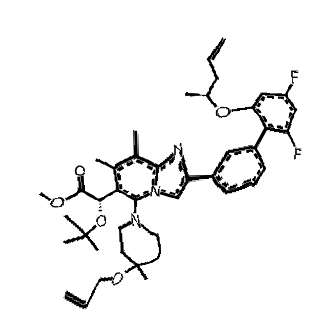 C=CCOC1(C)CCN(c2c([C@H](OC(C)(C)C)C(=O)OC)c(C)c(C)c3nc(-c4cccc(-c5c(F)cc(F)cc5O[C@@H](C)CC=C)c4)cn23)CC1